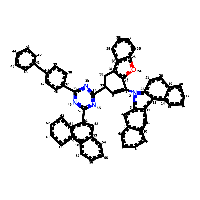 C1=C(n2c3cc4ccccc4cc3c3c4ccccc4ccc32)c2oc3ccccc3c2CC1c1nc(-c2ccc(-c3ccccc3)cc2)nc(-c2cc3ccccc3c3ccccc23)n1